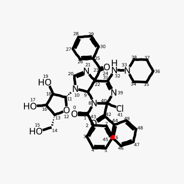 O=C(c1ccccc1)N1C2N([C@@H]3O[C@H](CO)C(O)C3O)C=NC2(C(=O)c2ccccc2)C(NN2CCCCC2)=NC1(Cl)C(=O)c1ccccc1